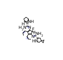 C/C=C\C1=C(/N=C(\N)[C@@H]2CC3(CC3)CN2)C(F)(F)C(/N=C(\N)[C@H]2NC3CC[C@H]2C3)=C1/C=C\C